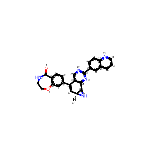 O=C1NCCOc2cc(C3=C[C@@H]4NC4c4nc(-c5ccc6ncccc6c5)ncc43)ccc21